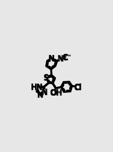 [C-]#[N+]c1cc(-c2cc([C@H](O)c3ccc(Cl)cc3)c(-c3nnc[nH]3)s2)ccn1